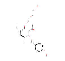 CC[C@H](/C=C(/C)C(CC(C)=O)OCc1ccc(OC)cc1)COCOCCOC